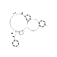 C[C@@H]1[C@@H](C)CCC[C@](C#N)(NC(=O)c2ccccc2)[C@@H]2CC[C@H]2CN2CCCCc3cc(Cl)ccc3COc3ccc(cc32)C(=O)NS1(=O)=O